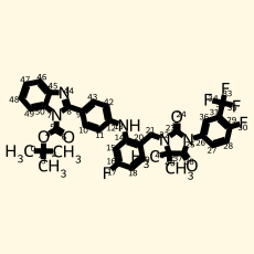 CC(C)(C)OC(=O)n1c(-c2ccc(Nc3cc(F)ccc3CN3C(=O)N(c4ccc(F)c(C(F)(F)F)c4)C(=O)C3(C)C)cc2)nc2ccccc21